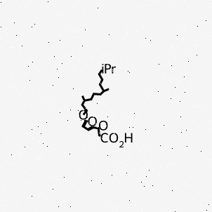 CC(C)CCCC(C)CCCC(C)CCOc1ccc(C(=O)CC(=O)O)o1